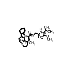 COC(=O)[C@@H](NC(=O)CNC(=O)C1=C[C@]2(C)CCCN3CCc4c(n1c1ccccc41)[C@@H]32)C(C)C